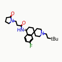 CC(C)(C)CCN1CCC2(CC[C@@H](NC(=O)CCN3CCCC3=O)c3ccc(F)cc32)CC1